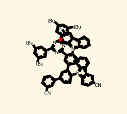 CC(C)(C)c1cc(-c2nc(-c3cc(C(C)(C)C)cc(C(C)(C)C)c3)nc(-c3cc(-c4cc(-c5cccc(C#N)c5)ccc4-n4c5ccccc5c5cc(C#N)ccc54)ccc3-n3c4ccccc4c4cc(C#N)ccc43)n2)cc(C(C)(C)C)c1